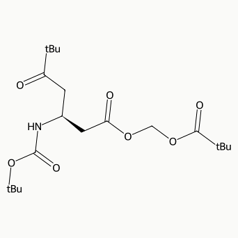 CC(C)(C)OC(=O)N[C@H](CC(=O)OCOC(=O)C(C)(C)C)CC(=O)C(C)(C)C